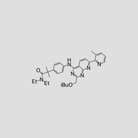 CCN(CC)C(=O)C(C)(C)c1ccc(Nc2nc(COCC(C)C)nc3nc(-c4ncccc4C)ccc23)cc1